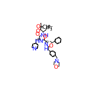 CC(C)CC(NC(=O)[C@H](Cc1ccncc1)NC(=O)[C@H](CCc1ccccc1)NC(=O)Cc1ccc(CN2CCOCC2)cc1)C(=O)[C@@]1(C)CO1